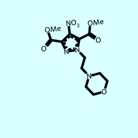 COC(=O)c1nn(CCN2CCOCC2)c(C(=O)OC)c1[N+](=O)[O-]